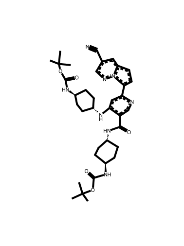 CC(C)(C)OC(=O)N[C@H]1CC[C@H](NC(=O)c2cnc(-c3ccc4cc(C#N)cnn34)cc2N[C@H]2CC[C@H](NC(=O)OC(C)(C)C)CC2)CC1